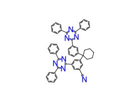 N#Cc1cc(-c2nc(-c3ccccc3)nc(-c3ccccc3)n2)cc(C2(c3cccc(-c4nc(-c5ccccc5)nc(-c5ccccc5)n4)c3)CCCCC2)c1